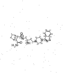 NC(=O)C1C2CCC(C2)C1C(=O)NCC(O)CCN1CCN(c2nsc3ccccc23)CC1